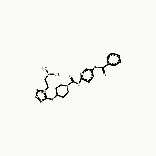 CN(C)CCn1nnnc1SC1CCN(C(=O)Oc2ccc(NC(=O)c3ccccc3)cn2)CC1